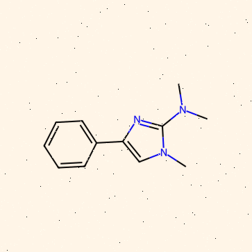 CN(C)c1nc(-c2ccccc2)cn1C